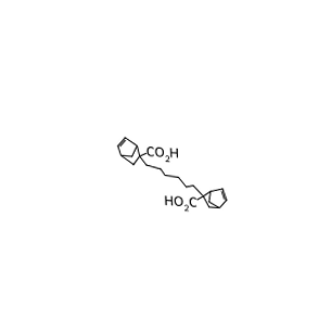 O=C(O)C1(CCCCCCC2(C(=O)O)CC3C=CC2C3)CC2C=CC1C2